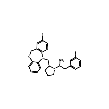 Cc1cccc(CC(N)N2CCCC2CN2c3ccc(F)cc3COc3ccccc32)c1